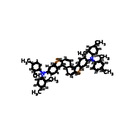 Cc1ccc(N(c2ccc3c4c(sc3c2)C=CC2=c3c(sc5cc(N(c6ccc(C)cc6C)c6ccc(C)cc6C)ccc35)=CCC24)c2ccc(C)cc2C)c(C)c1